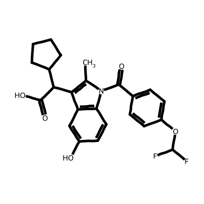 Cc1c(C(C(=O)O)C2CCCC2)c2cc(O)ccc2n1C(=O)c1ccc(OC(F)F)cc1